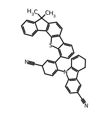 CC1(C)c2ccccc2-c2c1ccc1c2sc2c(C3=CC(C#N)CC=C3n3c4c(c5cc(C#N)ccc53)CCC=C4)cccc21